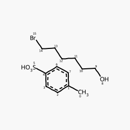 Cc1ccc(S(=O)(=O)O)cc1.OCCCCCCBr